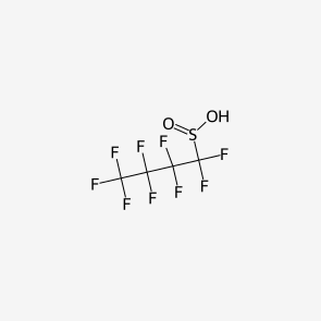 O=S(O)C(F)(F)C(F)(F)C(F)(F)C(F)(F)F